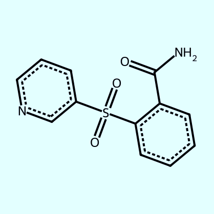 NC(=O)c1ccccc1S(=O)(=O)c1cccnc1